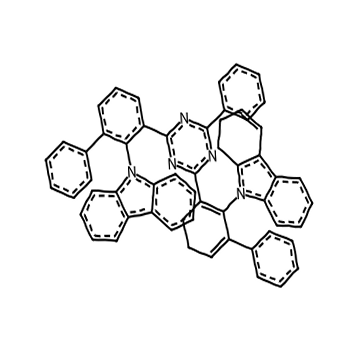 C1=Cc2c(n(C3=C(c4nc(-c5ccccc5)nc(-c5cccc(-c6ccccc6)c5-n5c6ccccc6c6ccccc65)n4)CCC=C3c3ccccc3)c3ccccc23)CC1